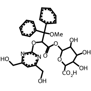 COC(c1ccccc1)(c1ccccc1)C(Oc1nc(CO)cc(CO)n1)C(=O)OC1OC(C(=O)O)C(O)C(O)C1O